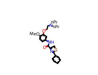 CCCN(CCC)CCOc1cc(NC(=O)c2csc(-c3ccccc3)n2)ccc1OC